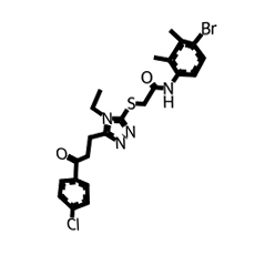 CCn1c(CCC(=O)c2ccc(Cl)cc2)nnc1SCC(=O)Nc1ccc(Br)c(C)c1C